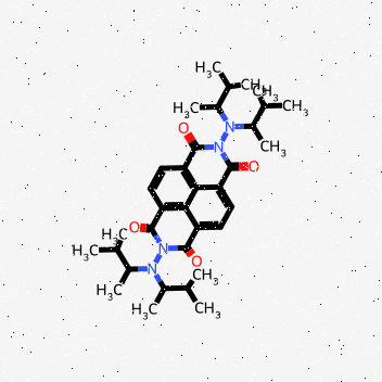 CC(C)C(C)N(C(C)C(C)C)N1C(=O)c2ccc3c4c(ccc(c24)C1=O)C(=O)N(N(C(C)C(C)C)C(C)C(C)C)C3=O